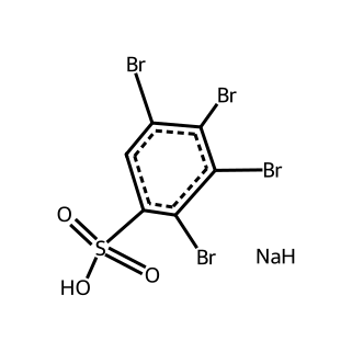 O=S(=O)(O)c1cc(Br)c(Br)c(Br)c1Br.[NaH]